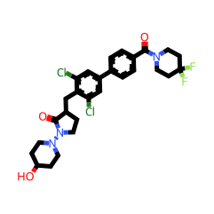 O=C(c1ccc(-c2cc(Cl)c(CC3CCN(N4CCC(O)CC4)C3=O)c(Cl)c2)cc1)N1CCC(F)(F)CC1